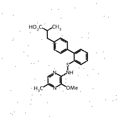 COc1nc(C)cnc1NSc1ccccc1-c1ccc(CC(C)C(=O)O)cc1